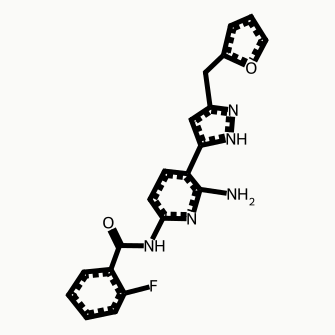 Nc1nc(NC(=O)c2ccccc2F)ccc1-c1cc(Cc2ccco2)n[nH]1